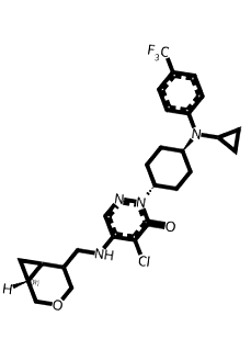 O=c1c(Cl)c(NCC2COC[C@@H]3CC23)cnn1[C@H]1CC[C@H](N(c2ccc(C(F)(F)F)cc2)C2CC2)CC1